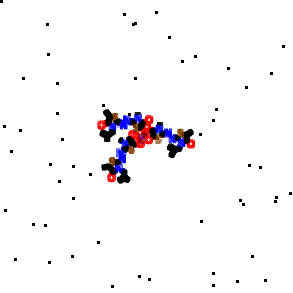 C=C(C)CN1C(=O)C(C)S/C1=N\N=C1/SC(OP(=O)(OC2S/C(=N\N=C3/SC(C)C(=O)N3CC(=C)C)N(C)C2=O)OC2S/C(=N\N=C3/SC(C)C(=O)N3CC(=C)C)N(C)C2=O)C(=O)N1C